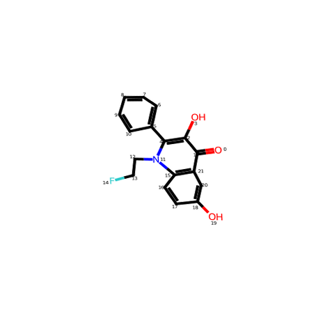 O=c1c(O)c(-c2ccccc2)n(CCF)c2ccc(O)cc12